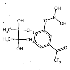 CC(C)(O)C(C)(C)O.O=C(c1cccc(OB(O)O)c1)C(F)(F)F